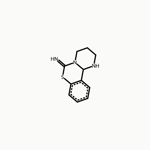 N=C1Sc2ccccc2C2NCCCN12